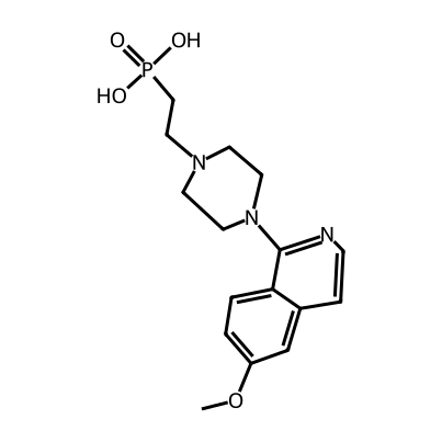 COc1ccc2c(N3CCN(CCP(=O)(O)O)CC3)nccc2c1